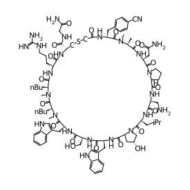 CCCC[C@H]1C(=O)N(C)[C@@H](CCCC)C(=O)N[C@@H](CCCNC(=N)N)C(=O)N[C@H](C(=O)NCC(N)=O)CSCC(=O)N[C@@H](Cc2ccc(C#N)cc2)C(=O)N(C)[C@@H](C)C(=O)N[C@@H](CC(N)=O)C(=O)N2CCC[C@H]2C(=O)N[C@@H](CN)C(=O)N[C@@H](CC(C)C)C(=O)N2C[C@H](O)CC2C(=O)N[C@@H](Cc2c[nH]c3ccccc23)C(=O)N[C@@H](CO)C(=O)N[C@@H](Cc2c[nH]c3ccccc23)C(=O)N1C